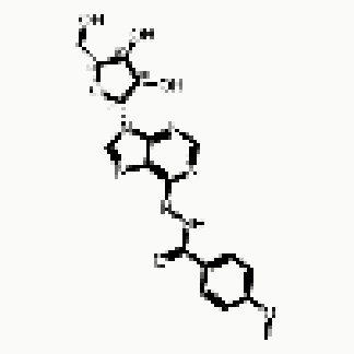 COc1ccc(C(=O)NNc2ncnc3c2ncn3[C@@H]2O[C@H](CO)[C@@H](O)[C@H]2O)cc1